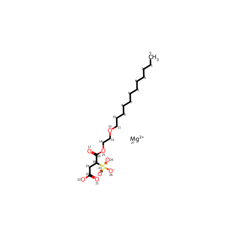 CCCCCCCCCCCCOCCOC(=O)C(CC(=O)[O-])S(=O)(=O)[O-].[Mg+2]